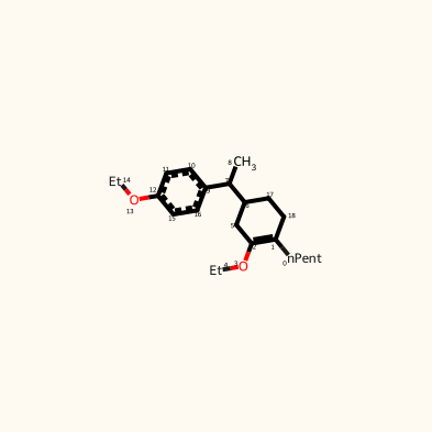 CCCCCC1=C(OCC)CC(C(C)c2ccc(OCC)cc2)CC1